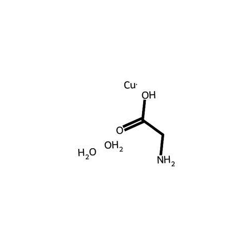 NCC(=O)O.O.O.[Cu]